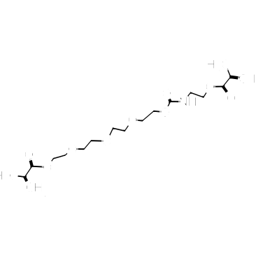 C=C(C)C(=O)OCCNC(=O)OCCOCCOCCOCCOC(=O)C(=C)C